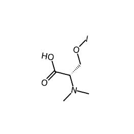 CN(C)[C@@H](COI)C(=O)O